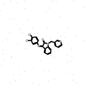 O=C1/C(=N\c2ccc(Cl)c(Cl)c2)c2ccccc2N1Cc1cccnc1